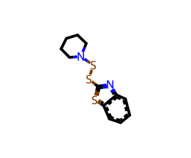 c1ccc2sc(SSN3CCCCC3)nc2c1